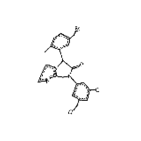 Cc1ccc(Br)cc1C1C(=O)N(c2cc(Cl)cc(Cl)c2)c2nccn21